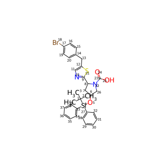 CC(C)(C)[Si](OC1CC(c2ncc(Cc3ccc(Br)cc3)s2)N(C(=O)O)C1)(c1ccccc1)c1ccccc1